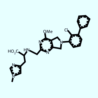 COc1nc(CNC(Cc2cn(C)cn2)C(=O)O)nc2c1CN(c1cccc(-c3ccccc3)c1Cl)C2